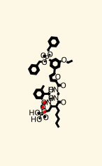 CCCCCC(C(=O)NCNC(=O)c1ccc(-c2cc(OCC)cc(P(=O)(OCc3ccccc3)OCc3ccccc3)c2)o1)C(CC)N(C=O)OC(=O)c1c(C)cccc1OCOP(=O)(O)O